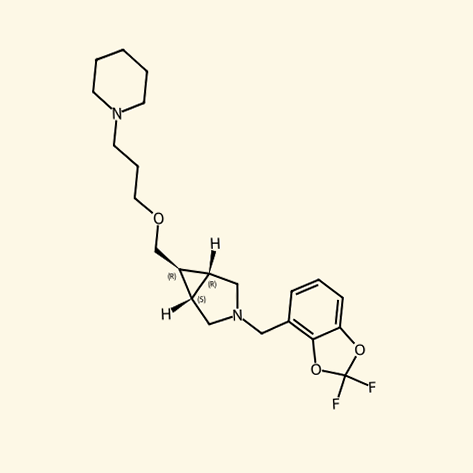 FC1(F)Oc2cccc(CN3C[C@@H]4[C@@H](COCCCN5CCCCC5)[C@@H]4C3)c2O1